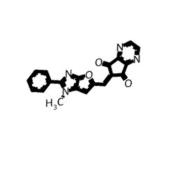 Cn1c(-c2ccccc2)nc2oc(C=C3C(=O)c4nccnc4C3=O)cc21